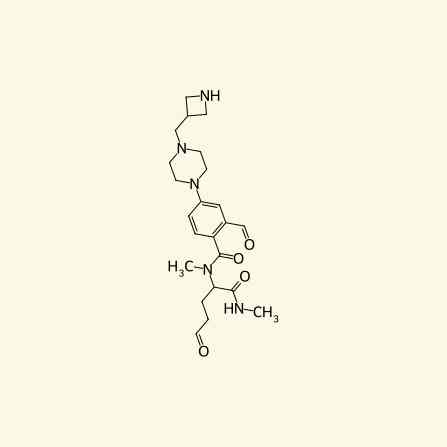 CNC(=O)C(CCC=O)N(C)C(=O)c1ccc(N2CCN(CC3CNC3)CC2)cc1C=O